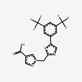 O=C(O)c1cnn(Cc2nc(-c3cc(C(F)(F)F)cc(C(F)(F)F)c3)cs2)c1